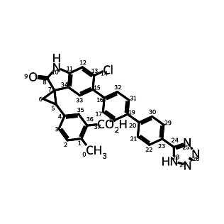 Cc1ccc(C2CC23C(=O)Nc2cc(Cl)c(-c4ccc(-c5ccc(-c6nnn[nH]6)cc5)cc4)cc23)cc1C(=O)O